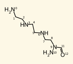 NCCNCCNCCN(N)C=O